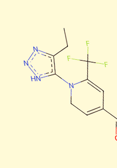 CCc1nn[nH]c1N1CC=C(C=O)C=C1C(F)(F)F